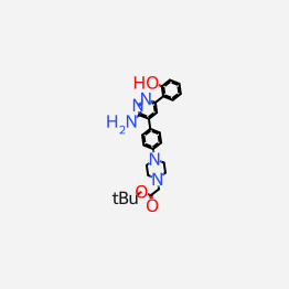 CC(C)(C)OC(=O)CN1CCN(c2ccc(-c3cc(-c4ccccc4O)nnc3N)cc2)CC1